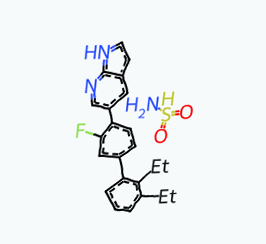 CCc1cccc(-c2ccc(-c3cnc4[nH]ccc4c3)c(F)c2)c1CC.N[SH](=O)=O